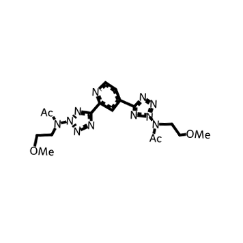 COCCN(C(C)=O)n1nnc(-c2ccnc(-c3nnn(N(CCOC)C(C)=O)n3)c2)n1